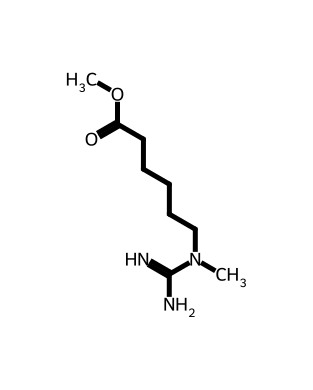 COC(=O)CCCCCN(C)C(=N)N